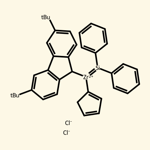 CC(C)(C)c1ccc2c(c1)-c1cc(C(C)(C)C)ccc1[CH]2[Zr+2]([C]1=CC=CC1)=[Si](c1ccccc1)c1ccccc1.[Cl-].[Cl-]